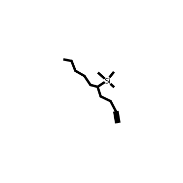 C#CCCC(CCCCC)[Si](C)(C)C